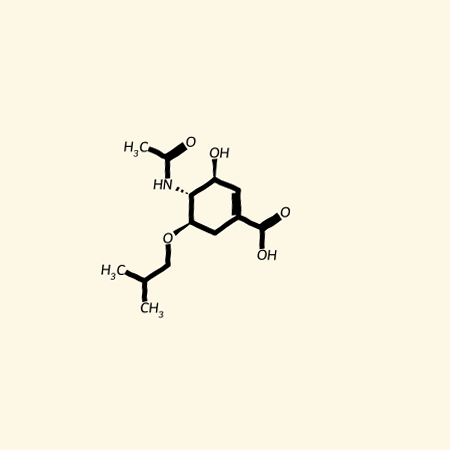 CC(=O)N[C@@H]1[C@@H](O)C=C(C(=O)O)C[C@H]1OCC(C)C